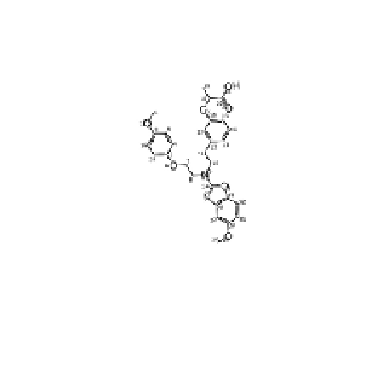 COc1ccc(OCCN(CCc2cccc(OC(C)C(=O)O)c2)c2nc3cc(OC)ccc3o2)cc1